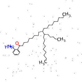 CCCCCCCCCC(CCCCC)C(CCCCCCCCC)CCCCCCCCC(=O)c1ccccc1N=N